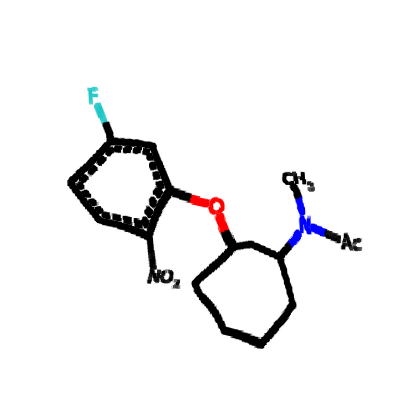 CC(=O)N(C)C1CCCCC1Oc1cc(F)ccc1[N+](=O)[O-]